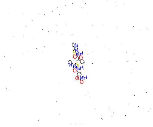 O=C1COc2cc(C(=O)Nc3nc(-c4ccccn4)c(Cc4c(C(=O)Nc5nc(-c6ccccn6)cs5)oc5ccccc45)s3)ccc2N1